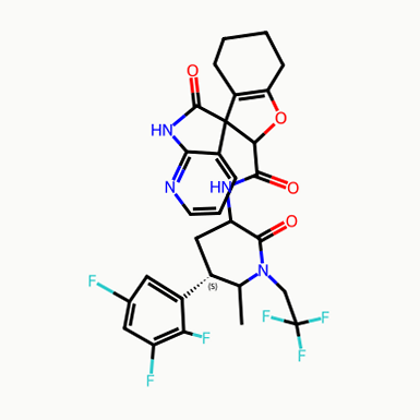 CC1[C@H](c2cc(F)cc(F)c2F)CC(NC(=O)C2OC3=C(CCCC3)C23C(=O)Nc2ncccc23)C(=O)N1CC(F)(F)F